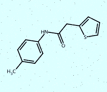 Cc1ccc(NC(=O)Cc2cccs2)cc1